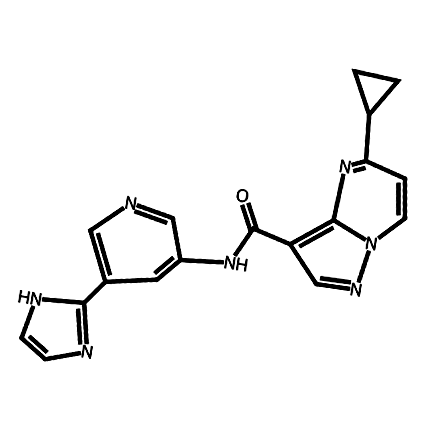 O=C(Nc1cncc(-c2ncc[nH]2)c1)c1cnn2ccc(C3CC3)nc12